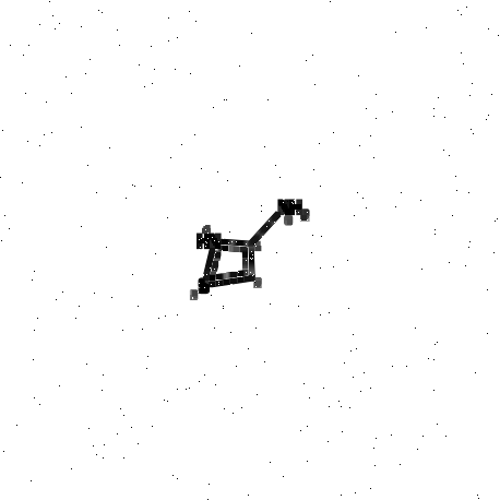 Nc1cs[nH]1